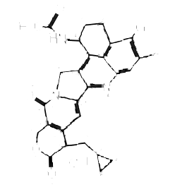 CC(=O)NC1CCc2c(C)c(F)cc3nc4c(c1c23)Cn1c-4cc2c(c1=O)COC(=O)[C@]2(O)CC1CC1